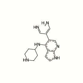 N=C/C(=C\N)c1cnc2[nH]ccc2c1NC1CCNCC1